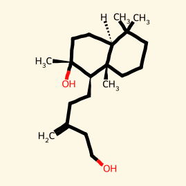 C=C(CCO)CC[C@@H]1[C@@]2(C)CCCC(C)(C)[C@@H]2CC[C@@]1(C)O